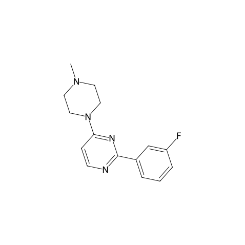 CN1CCN(c2ccnc(-c3cccc(F)c3)n2)CC1